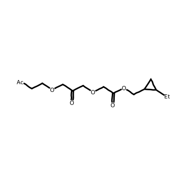 CCC1CC1COC(=O)COCC(=O)COCCC(C)=O